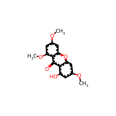 COc1cc(O)c2c(=O)c3c(OC)cc(OC)cc3oc2c1